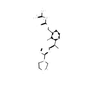 C=N/C(=N\C=C(/C)c1cccc(COC(=O)NC(=N)N)c1C)N1CCOCC1